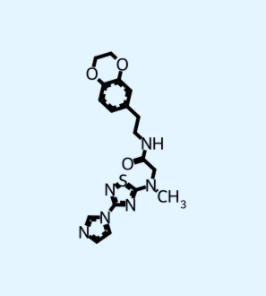 CN(CC(=O)NCCc1ccc2c(c1)OCCO2)c1nc(-n2ccnc2)ns1